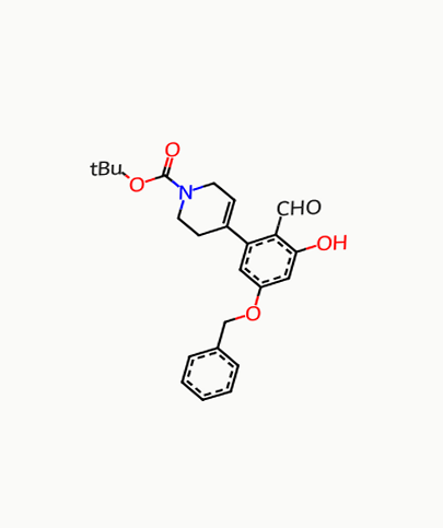 CC(C)(C)OC(=O)N1CC=C(c2cc(OCc3ccccc3)cc(O)c2C=O)CC1